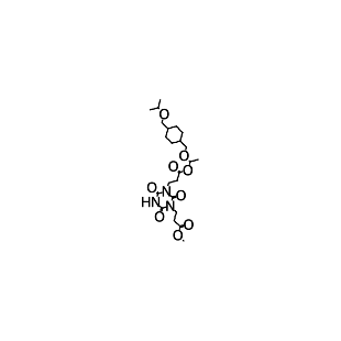 COC(=O)CCn1c(=O)[nH]c(=O)n(CCC(=O)OC(C)OCC2CCC(COC(C)C)CC2)c1=O